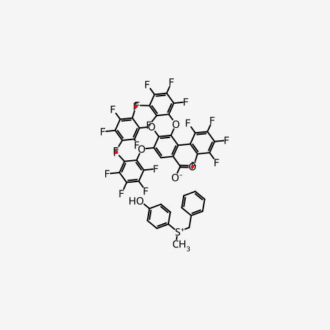 C[S+](Cc1ccccc1)c1ccc(O)cc1.O=C([O-])c1cc(Oc2c(F)c(F)c(F)c(F)c2F)c(Oc2c(F)c(F)c(F)c(F)c2F)c(Oc2c(F)c(F)c(F)c(F)c2F)c1-c1c(F)c(F)c(F)c(F)c1F